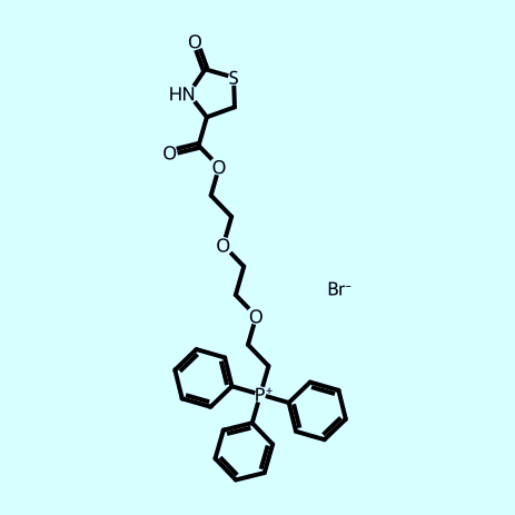 O=C1NC(C(=O)OCCOCCOCC[P+](c2ccccc2)(c2ccccc2)c2ccccc2)CS1.[Br-]